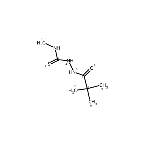 CNC(=S)NNC(=O)C(C)(C)C